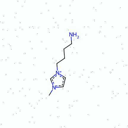 Cn1cc[n+](CCCCN)c1